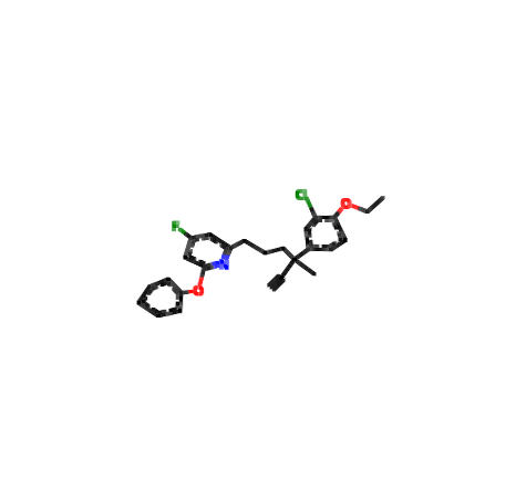 C#CC(C)(CCCc1cc(F)cc(Oc2ccccc2)n1)c1ccc(OCC)c(Cl)c1